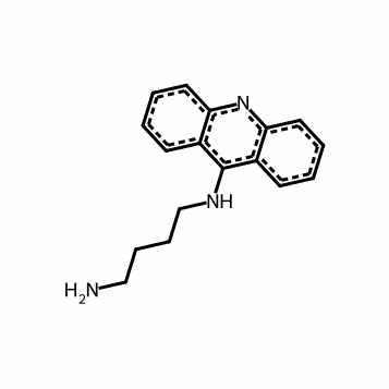 NCCCCNc1c2ccccc2nc2ccccc12